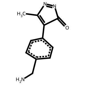 CC1=C(c2ccc(CN)cc2)C(=O)N=N1